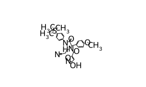 COc1ccc(C(C(=O)Nc2ccc(S(C)(C)C)cc2)N(CCC#N)C(=O)c2cc(O)no2)cc1